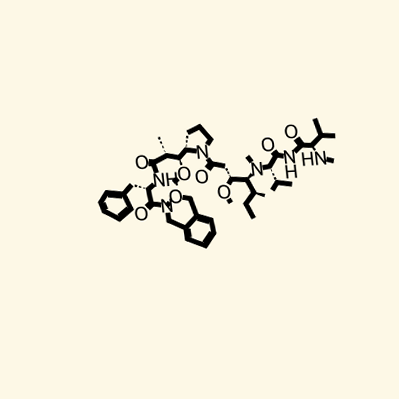 CC[C@H](C)[C@@H]([C@@H](CC(=O)N1CCC[C@H]1[C@H](OC)[C@@H](C)C(=O)N[C@@H](Cc1ccccc1)C(=O)N1Cc2ccccc2CO1)OC)N(C)[C@H](C(=O)NC(=O)[C@@H](NC)C(C)C)C(C)C